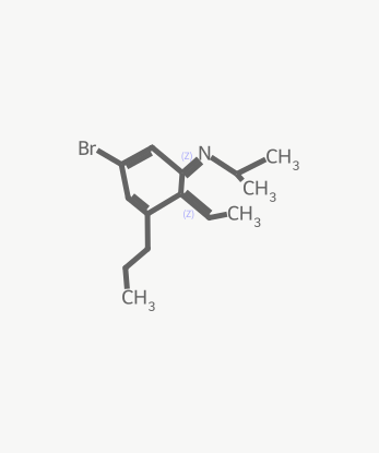 C/C=C1/C(CCC)=CC(Br)=C/C1=N/C(C)C